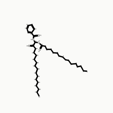 CCCCCCCCCCCCCCCC(=O)OC(OC(=O)c1ccccc1)C(=O)CCCCCCCCCCCCCCC